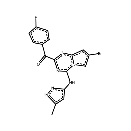 Cc1cc(Nc2nc(C(=O)c3ccc(F)cc3)nc3cc(Br)cn23)n[nH]1